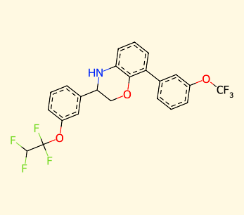 FC(F)C(F)(F)Oc1cccc(C2COc3c(cccc3-c3cccc(OC(F)(F)F)c3)N2)c1